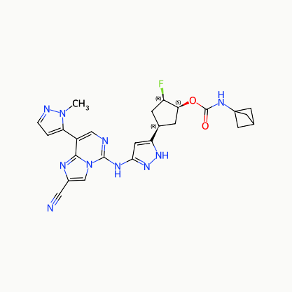 Cn1nccc1-c1cnc(Nc2cc([C@H]3C[C@@H](F)[C@@H](OC(=O)NC45CC(C4)C5)C3)[nH]n2)n2cc(C#N)nc12